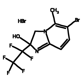 Br.CC1=C(Br)C=CC2=NC(O)(C(F)(F)C(F)(F)F)CN21